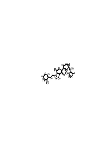 Cn1nccc1Nc1nccc(-c2cc(F)c3c(c2F)CCN3CCc2cccnc2Cl)n1